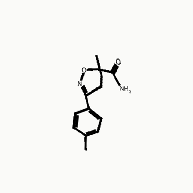 Cc1ccc(C2=NOC(C)(C(N)=O)C2)cc1